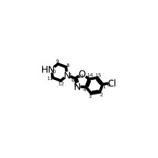 Clc1ccc2nc(N3CCNCC3)oc2c1